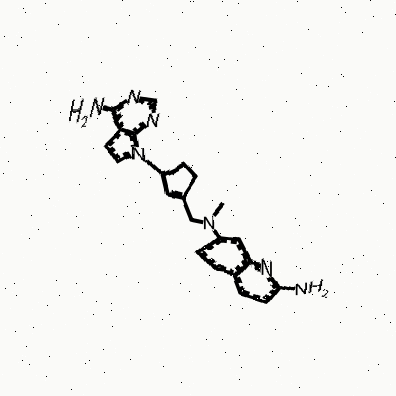 CN(CC1=CC(n2ccc3c(N)ncnc32)CC1)c1ccc2ccc(N)nc2c1